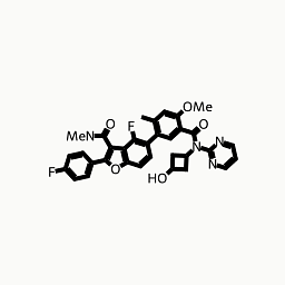 CNC(=O)c1c(-c2ccc(F)cc2)oc2ccc(-c3cc(C(=O)N(c4ncccn4)C4CC(O)C4)c(OC)cc3C)c(F)c12